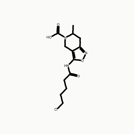 CC1Cc2noc(NC(=O)CCCCCl)c2CN1C(=O)O